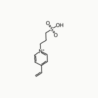 C=Cc1cc[n+](CCCS(=O)(=O)O)cc1